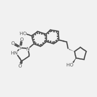 O=C1CN(c2cc3cc(CC[C@@H]4CCC[C@H]4O)ccc3cc2O)S(=O)(=O)N1